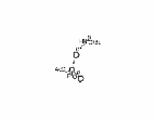 CCOP(=O)(c1ccccc1)c1cc(C#Cc2ccc(OCCCNC(=O)OC(C)(C)C)cc2)cc(COC(C)=O)n1